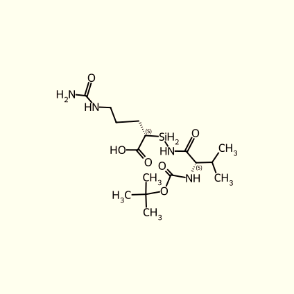 CC(C)[C@H](NC(=O)OC(C)(C)C)C(=O)N[SiH2][C@@H](CCCNC(N)=O)C(=O)O